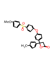 COc1ccc(S(=O)(=O)c2ccc(Oc3ccc(C4(c5ccc(C)cc5)CC(=O)O4)cc3)cc2)cc1